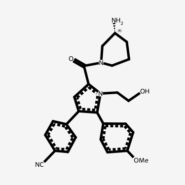 COc1ccc(-c2c(-c3ccc(C#N)cc3)cc(C(=O)N3CCC[C@@H](N)C3)n2CCO)cc1